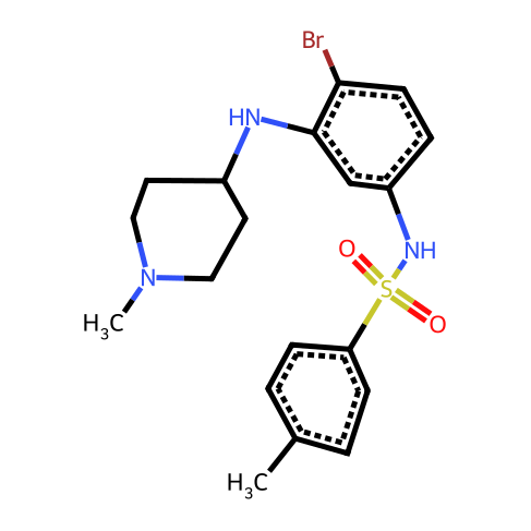 Cc1ccc(S(=O)(=O)Nc2ccc(Br)c(NC3CCN(C)CC3)c2)cc1